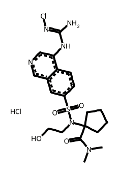 CN(C)C(=O)C1(N(CCO)S(=O)(=O)c2ccc3c(NC(N)=NCl)cncc3c2)CCCC1.Cl